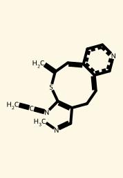 C=C=N/C1=C(\C=N/C)C/C=c2/cncc/c2=C/C(=C)S1